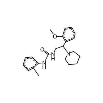 COc1ccccc1C(CNC(=O)Nc1ccccc1C)N1CCCCC1